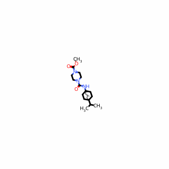 COC(=O)N1CCN(C(=O)NC23CCC(C(C)C)(CC2)CC3)CC1